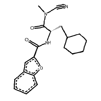 CN(C#N)C(=O)[C@H](CC1CCCCC1)NC(=O)c1cc2ccccc2o1